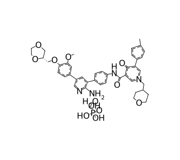 COc1cc(-c2cnc(N)c(-c3ccc(NC(=O)c4cn(CC5CCOCC5)cc(-c5ccc(C)cc5)c4=O)cc3)c2)ccc1OC[C@H]1COCCO1.O.O=P(O)(O)O